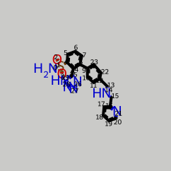 NS(=O)(=O)c1cccc(-c2ccc(CNCc3ccccn3)cc2)c1-c1nnn[nH]1